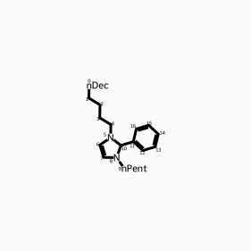 CCCCCCCCCCCCCCN1C=CN(CCCCC)C1c1ccccc1